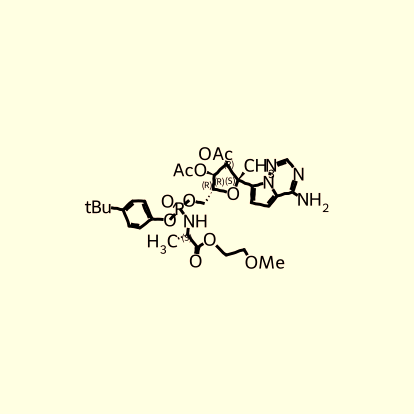 COCCOC(=O)[C@H](C)NP(=O)(OC[C@H]1O[C@@](C)(c2ccc3c(N)ncnn23)[C@H](OC(C)=O)[C@@H]1OC(C)=O)Oc1ccc(C(C)(C)C)cc1